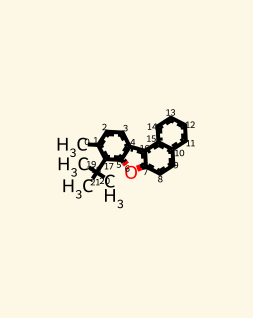 Cc1ccc2c(oc3ccc4ccccc4c32)c1C(C)(C)C